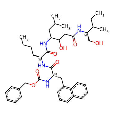 CCCC[C@H](NC(=O)[C@H](Cc1cccc2ccccc12)NC(=O)OCc1ccccc1)C(=O)NC(CC(C)C)C(O)CC(=O)N[C@H](CO)C(C)CC